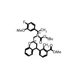 COC(=O)c1cccc(C2C[C@H](CN(C(=O)OC(C)(C)C)[C@H](C)c3ccc(F)c(OC)c3)Oc3ccccc32)c1C